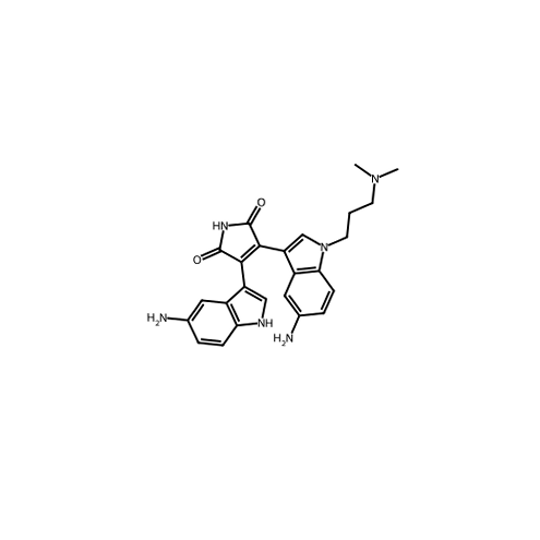 CN(C)CCCn1cc(C2=C(c3c[nH]c4ccc(N)cc34)C(=O)NC2=O)c2cc(N)ccc21